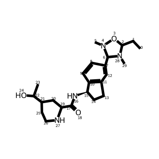 CCC1ON(C)C(c2ccc3c(c2)CC[C@H]3NC(=O)C2CC(C(C)O)CCN2)N1C